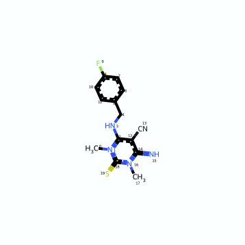 Cn1c(NCc2ccc(F)cc2)c(C#N)c(=N)n(C)c1=S